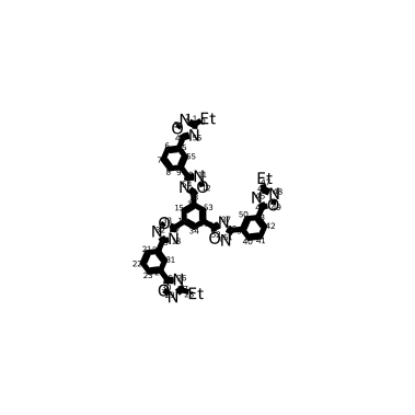 CCc1noc(-c2cccc(-c3noc(-c4cc(-c5nc(-c6cccc(-c7nc(CC)no7)c6)no5)cc(-c5nc(-c6cccc(-c7nc(CC)no7)c6)no5)c4)n3)c2)n1